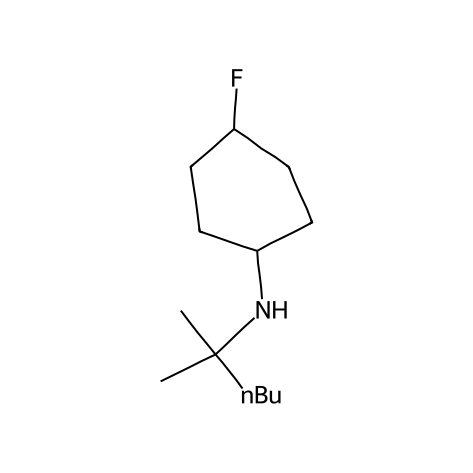 CCCCC(C)(C)NC1CCC(F)CC1